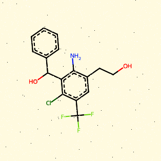 Nc1c(CCO)cc(C(F)(F)F)c(Cl)c1C(O)c1ccccc1